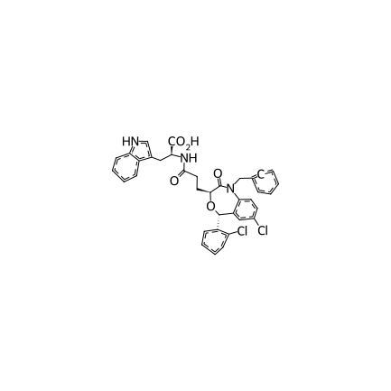 O=C(CC[C@@H]1O[C@@H](c2ccccc2Cl)c2cc(Cl)ccc2N(Cc2ccccc2)C1=O)N[C@@H](Cc1c[nH]c2ccccc12)C(=O)O